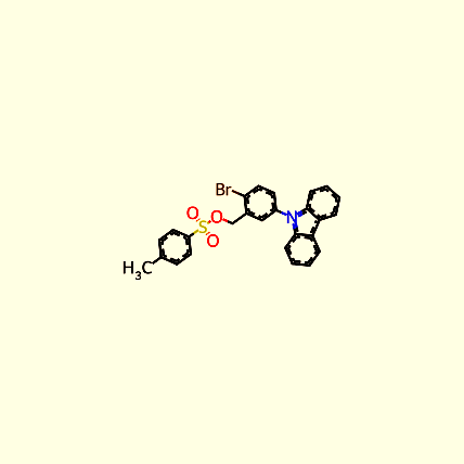 Cc1ccc(S(=O)(=O)OCc2cc(-n3c4ccccc4c4ccccc43)ccc2Br)cc1